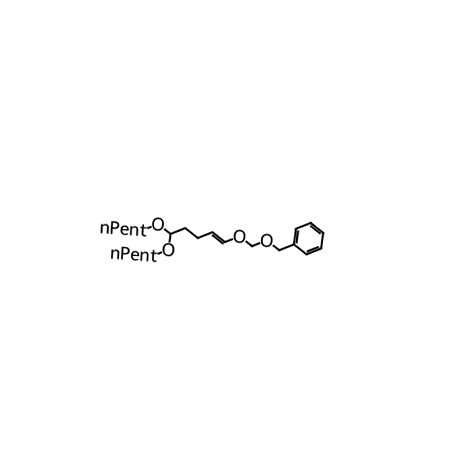 CCCCCOC(CCC=COCOCc1ccccc1)OCCCCC